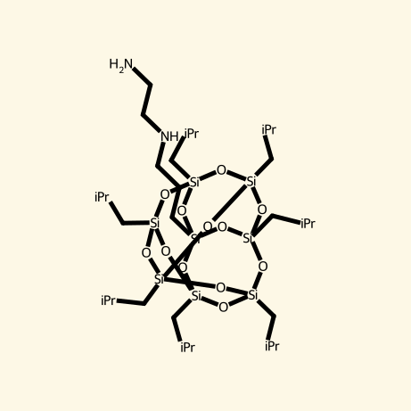 CC(C)C[Si]12O[Si]3(CCCNCCN)O[Si]4(CC(C)C)O[Si](CC(C)C)(O1)O[Si]1(CC(C)C)O[Si](CC(C)C)(O2)O[Si](CC(C)C)(O3)O[Si](CC(C)C)(O4)O1